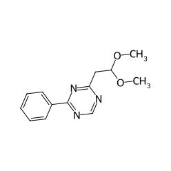 COC(Cc1ncnc(-c2ccccc2)n1)OC